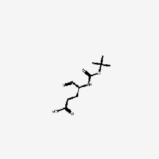 CC(C)(C)OC(=O)N[C@H]([C]=O)CCC(=O)O